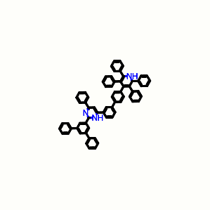 C1=C(c2cccc(-c3ccc(C4=C(c5ccccc5)C(c5ccccc5)NC(c5ccccc5)=C4c4ccccc4)cc3)c2)NC(c2cc(-c3ccccc3)cc(-c3ccccc3)c2)N=C1c1ccccc1